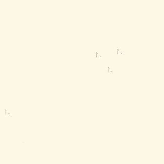 c1ccc(-c2nc(-c3ccccc3)nc(-c3ccc(-c4ccc(-c5cncc6oc7ccccc7c56)cc4)c4ccccc34)n2)cc1